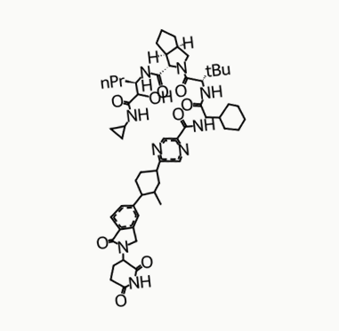 CCC[C@@H](NC(=O)[C@@H]1[C@H]2CCC[C@H]2CN1C(=O)[C@@H](NC(=O)[C@@H](NC(=O)c1cnc(C2CCC(c3ccc4c(c3)CN(C3CCC(=O)NC3=O)C4=O)C(C)C2)cn1)C1CCCCC1)C(C)(C)C)C(O)C(=O)NC1CC1